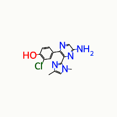 Cc1cn(C)c(-c2nc(N)cnc2-c2ccc(O)c(Cl)c2)n1